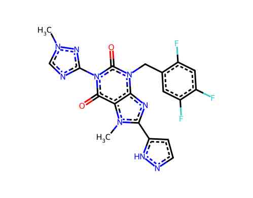 Cn1cnc(-n2c(=O)c3c(nc(-c4ccn[nH]4)n3C)n(Cc3cc(F)c(F)cc3F)c2=O)n1